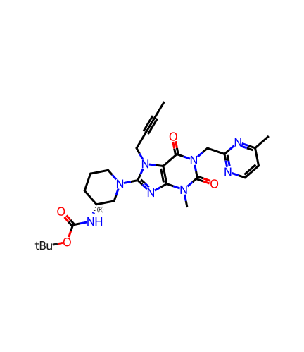 CC#CCn1c(N2CCC[C@@H](NC(=O)OC(C)(C)C)C2)nc2c1c(=O)n(Cc1nccc(C)n1)c(=O)n2C